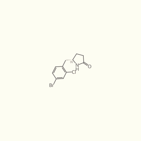 O=C1CC[C@@H](Cc2ccc(Br)cc2Cl)N1